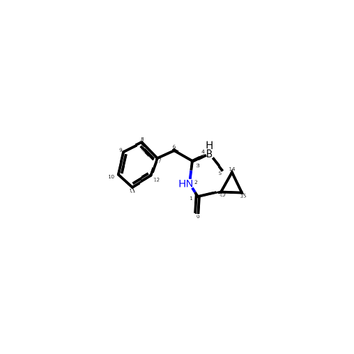 C=C(NC(BC)Cc1ccccc1)C1CC1